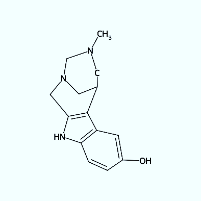 CN1CC2CN(Cc3[nH]c4ccc(O)cc4c32)C1